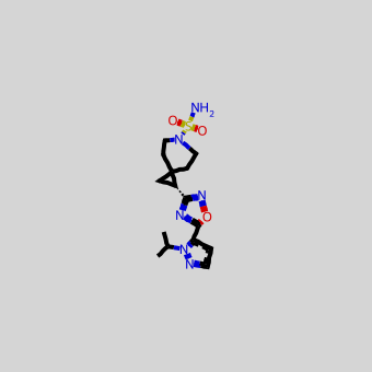 CC(C)n1nccc1-c1nc([C@@H]2CC23CCN(S(N)(=O)=O)CC3)no1